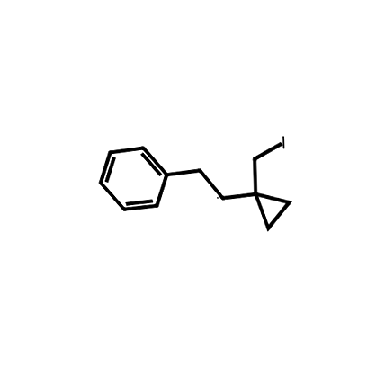 ICC1([CH]Cc2ccccc2)CC1